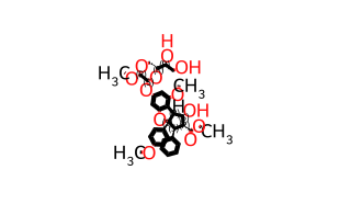 COC(=O)[C@H]1[C@@H](O)[C@H]2c3c(OC)cc(O[C@@H]4O[C@@H]([C@H](O)CO)CO[C@H]4OC)cc3O[C@@]2(c2ccc(OC)cc2)[C@@H]1c1ccccc1